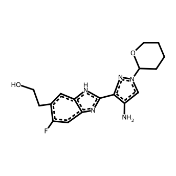 Nc1cn(C2CCCCO2)nc1-c1nc2cc(F)c(CCO)cc2[nH]1